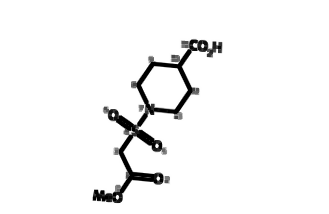 COC(=O)CS(=O)(=O)N1CCC(C(=O)O)CC1